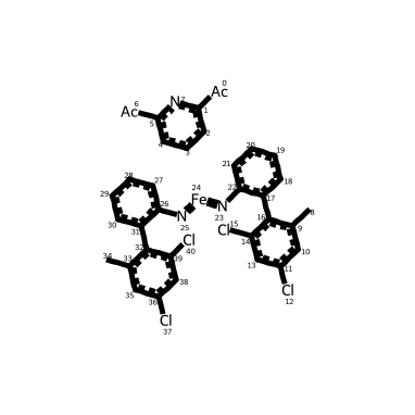 CC(=O)c1cccc(C(C)=O)n1.Cc1cc(Cl)cc(Cl)c1-c1ccccc1[N]=[Fe]=[N]c1ccccc1-c1c(C)cc(Cl)cc1Cl